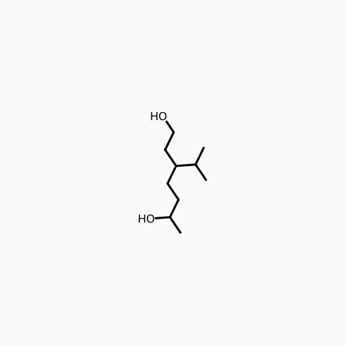 CC(O)CCC(CCO)C(C)C